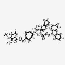 Cc1ccc(C(=O)OCc2ccc(C(CNC(=O)OCC3c4ccccc4-c4ccccc43)N(C=O)c3ccc4cnccc4c3)cc2)c(C)c1